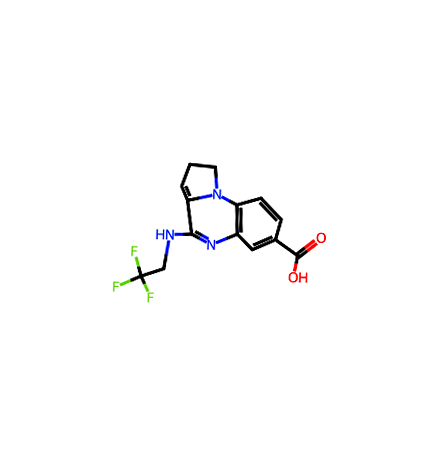 O=C(O)c1ccc2c(c1)N=C(NCC(F)(F)F)C1=CCCN12